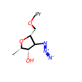 CC(C)OC[C@H]1O[C@@H](C)[C@@H](O)C1N=[N+]=[N-]